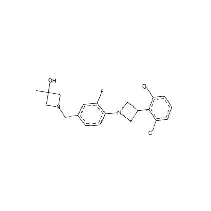 CC1(O)CN(Cc2ccc(N3CC(c4c(Cl)cccc4Cl)C3)c(F)c2)C1